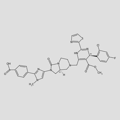 COC(=O)C1=C(CN2CCN3C(=O)N(c4cn(C)c(-c5ccc(C(=O)O)cc5)n4)C[C@@H]3C2)NC(c2nccs2)=N[C@H]1c1ccc(F)cc1Cl